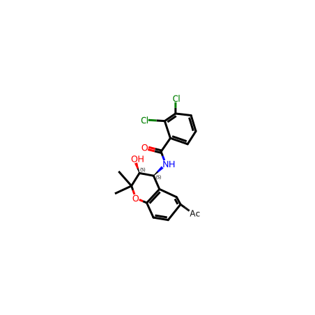 CC(=O)c1ccc2c(c1)[C@H](NC(=O)c1cccc(Cl)c1Cl)[C@H](O)C(C)(C)O2